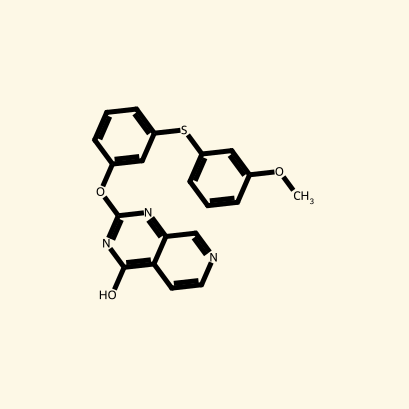 COc1cccc(Sc2cccc(Oc3nc(O)c4ccncc4n3)c2)c1